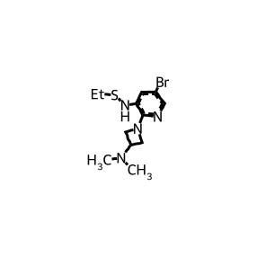 CCSNc1cc(Br)cnc1N1CC(N(C)C)C1